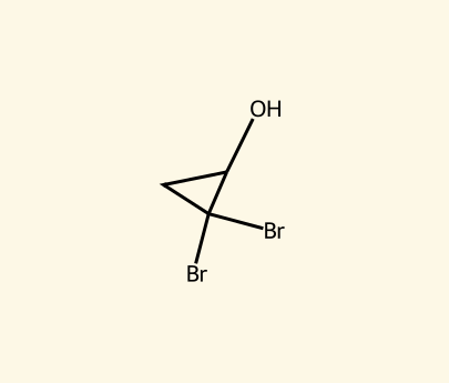 OC1CC1(Br)Br